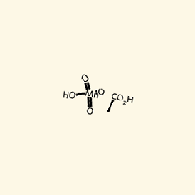 CC(=O)O.[O]=[Mn](=[O])(=[O])[OH]